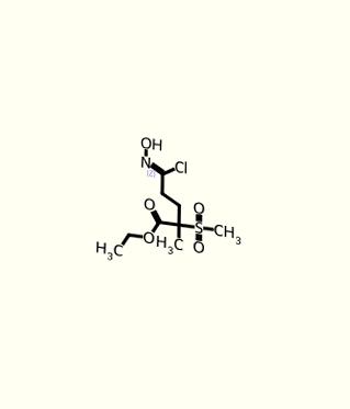 CCOC(=O)C(C)(CC/C(Cl)=N/O)S(C)(=O)=O